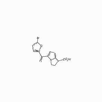 O=C(c1ccc(Br)o1)c1ccc2n1CCC2C(=O)O